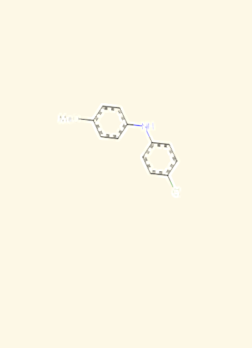 COc1ccc(Nc2ccc(Cl)cc2)cc1